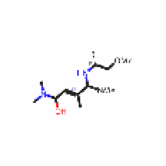 CNC(N[C@H](C)COC)/C(C)=C/C(O)N(C)C